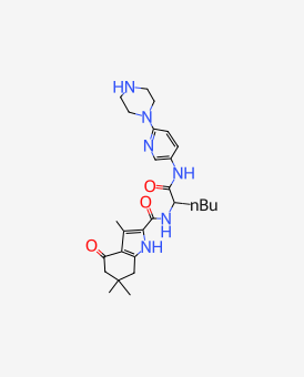 CCCCC(NC(=O)c1[nH]c2c(c1C)C(=O)CC(C)(C)C2)C(=O)Nc1ccc(N2CCNCC2)nc1